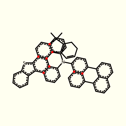 CC1(C)C2=C(C=CCC2)c2c(-c3ccccc3N(c3ccc(-c4cccc5cccc(-c6ccccc6)c45)cc3)c3ccccc3-c3ccc4c(c3)sc3ccccc34)cccc21